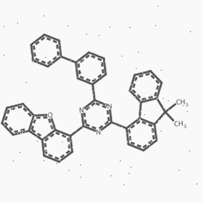 CC1(C)c2ccccc2-c2c(-c3nc(-c4cccc(-c5ccccc5)c4)nc(-c4cccc5c4oc4ccccc45)n3)cccc21